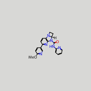 COc1ccc(-c2ccc3c(n2)N(C(=O)Nc2ccccn2)[C@H]2CCN32)cn1